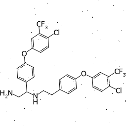 NCC(NCCc1ccc(Oc2ccc(Cl)c(C(F)(F)F)c2)cc1)c1ccc(Oc2ccc(Cl)c(C(F)(F)F)c2)cc1